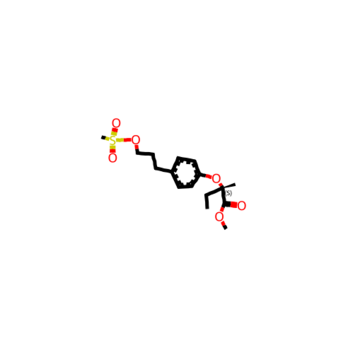 CC[C@](C)(Oc1ccc(CCCOS(C)(=O)=O)cc1)C(=O)OC